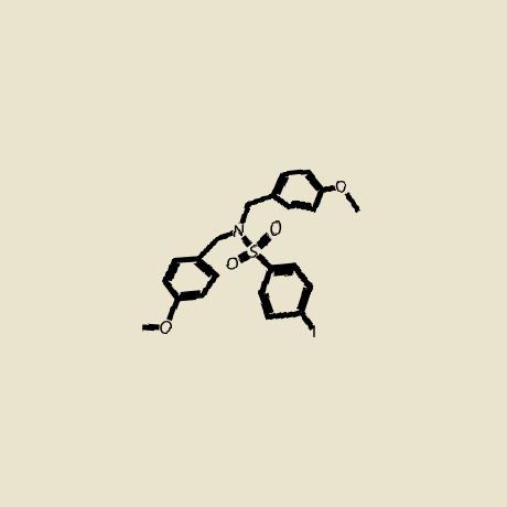 COc1ccc(CN(Cc2ccc(OC)cc2)S(=O)(=O)c2ccc(I)cc2)cc1